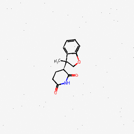 CC1([C@@H]2CCC(=O)NC2=O)COc2ccccc21